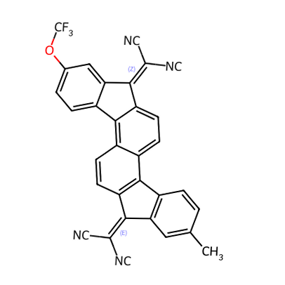 [C-]#[N+]/C(C#N)=C1/c2cc(OC(F)(F)F)ccc2-c2c1ccc1c3c(ccc21)/C(=C(\C#N)[N+]#[C-])c1cc(C)ccc1-3